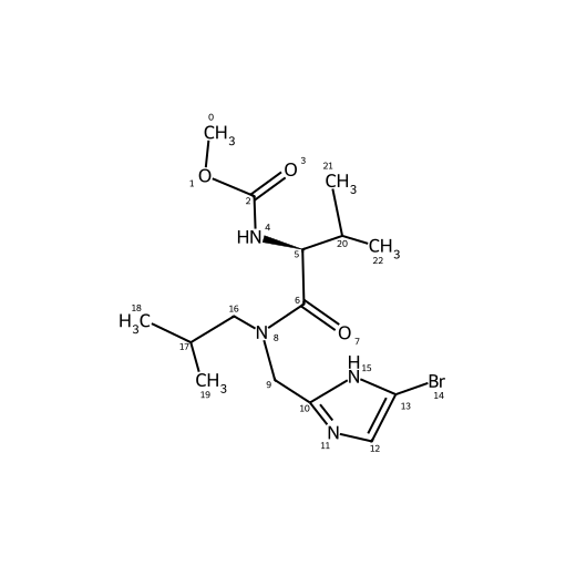 COC(=O)N[C@H](C(=O)N(Cc1ncc(Br)[nH]1)CC(C)C)C(C)C